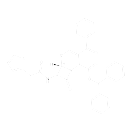 O=C(Cc1cccs1)NC1C(=O)N2C(C(=O)OC(c3ccccc3)c3ccccc3)C(C(=O)c3ccccc3)=CS[C@@H]12